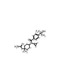 CC1(CC(N)=O)CCC(N(C(=O)c2ccc([C@](C)(O)C(F)(F)F)cc2)C2CC2)CC1